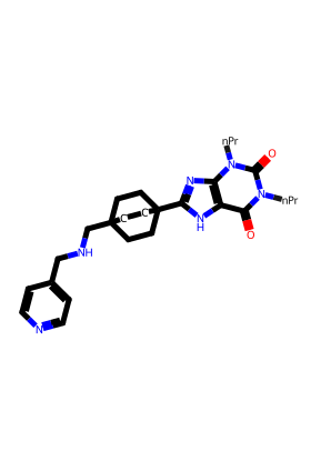 CCCn1c(=O)c2[nH]c(C34CCC(CNCc5ccncc5)(CC3)CC4)nc2n(CCC)c1=O